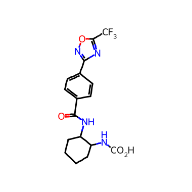 O=C(O)NC1CCCCC1NC(=O)c1ccc(-c2noc(C(F)(F)F)n2)cc1